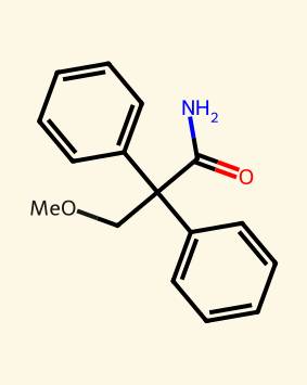 COCC(C(N)=O)(c1ccccc1)c1ccccc1